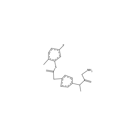 C=C(Cc1ccc(C(C)C(=C)CN)cc1)Sc1cc(F)ccc1C